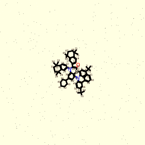 CC(C)(C)c1ccc2c(c1)B1c3oc4cc5c(cc4c3N(c3ccc4c(c3)C(C)(C)CCC4(C)C)c3cc(C4CCCCC4)cc(c31)N2c1ccc(C(C)(C)C)cc1-c1ccccc1)C(C)(C)CCC5(C)C